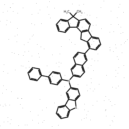 CC1(C)c2ccccc2-c2c1ccc1c2Cc2c(-c3ccc4cc(N(c5ccc(-c6ccccc6)cc5)c5ccc6sc7ccccc7c6c5)ccc4c3)cccc2-1